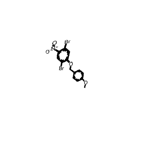 COc1ccc(COc2cc(Br)c([N+](=O)[O-])cc2Br)cc1